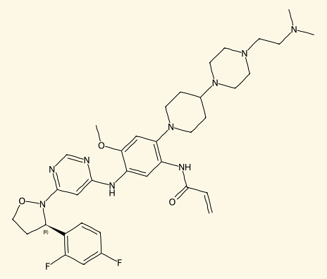 C=CC(=O)Nc1cc(Nc2cc(N3OCC[C@@H]3c3ccc(F)cc3F)ncn2)c(OC)cc1N1CCC(N2CCN(CCN(C)C)CC2)CC1